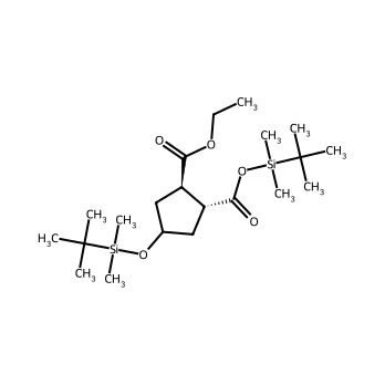 CCOC(=O)[C@@H]1CC(O[Si](C)(C)C(C)(C)C)C[C@H]1C(=O)O[Si](C)(C)C(C)(C)C